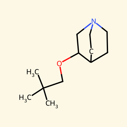 CC(C)(C)COC1CN2CCC1CC2